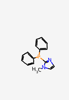 Cn1ccnc1P(c1ccccc1)c1ccccc1